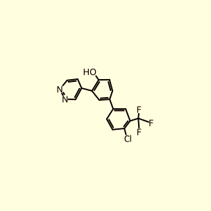 Oc1ccc(-c2ccc(Cl)c(C(F)(F)F)c2)cc1-c1ccnnc1